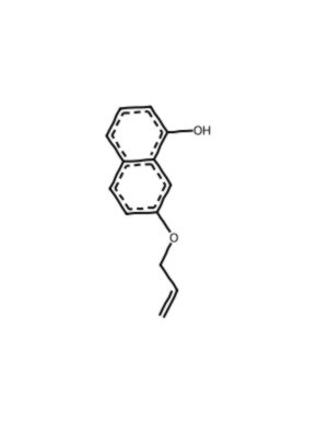 C=CCOc1ccc2cccc(O)c2c1